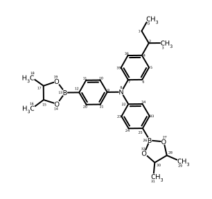 CCC(C)c1ccc(N(c2ccc(B3OC(C)C(C)O3)cc2)c2ccc(B3OC(C)C(C)O3)cc2)cc1